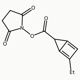 CCC1=C2C(=C1)C2C(=O)ON1C(=O)CCC1=O